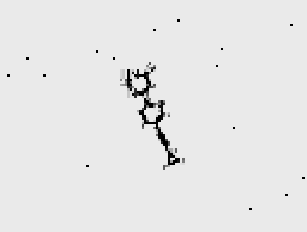 O=c1cc(-c2ccc(C#CC3CC3)cn2)nc[nH]1